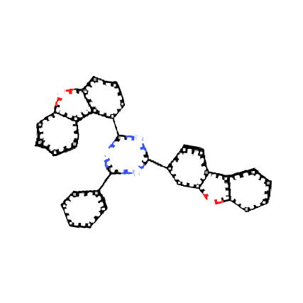 c1ccc(-c2nc(-c3ccc4c(c3)oc3ccccc34)nc(-c3cccc4oc5ccccc5c34)n2)cc1